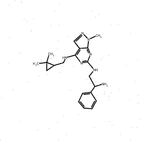 Cn1ncc2c(NCC3CC3(C)C)nc(NCC(N)c3ccccc3)nc21